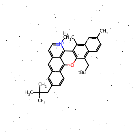 Cc1ccc2c(CC(C)(C)C)c3c(c(C)c2c1)-c1c2c(c4ccc(CC(C)(C)C(F)(F)F)cc4cc2cc[n+]1C)O3